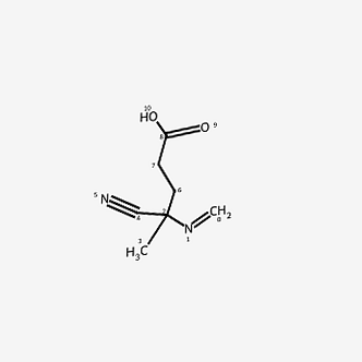 C=NC(C)(C#N)CCC(=O)O